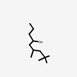 CCCC(O)CC(C)CC(C)(C)C